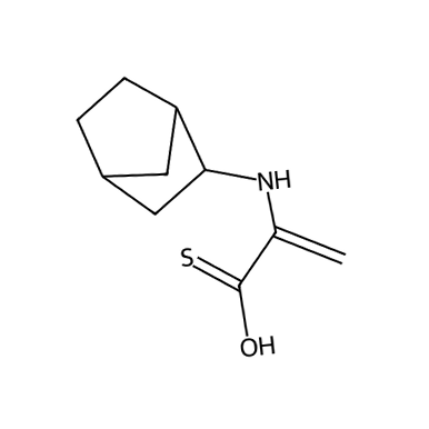 C=C(NC1CC2CCC1C2)C(O)=S